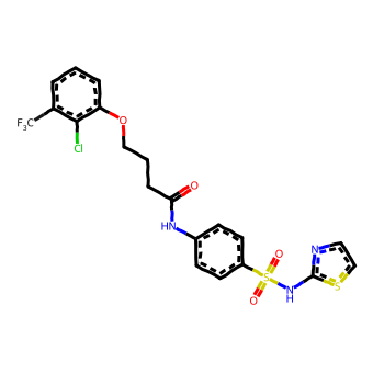 O=C(CCCOc1cccc(C(F)(F)F)c1Cl)Nc1ccc(S(=O)(=O)Nc2nccs2)cc1